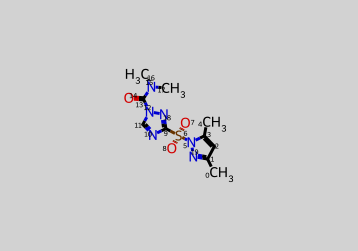 Cc1cc(C)n(S(=O)(=O)c2ncn(C(=O)N(C)C)n2)n1